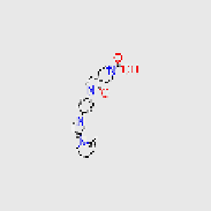 C[C@H]1CCCCN1[C@H]1CCN(c2ccc(N3CCC4(CCN(C(=O)O)CC4)C3=O)cc2)C1